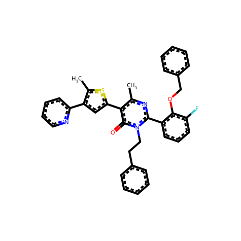 Cc1nc(-c2cccc(F)c2OCc2ccccc2)n(CCc2ccccc2)c(=O)c1-c1cc(-c2ccccn2)c(C)s1